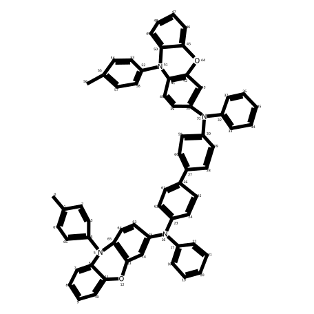 Cc1ccc(N2c3ccccc3Oc3cc(N(c4ccccc4)c4ccc(-c5ccc(N(c6ccccc6)c6ccc7c(c6)Oc6ccccc6N7c6ccc(C)cc6)cc5)cc4)ccc32)cc1